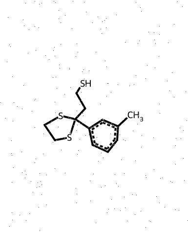 Cc1cccc(C2(CCS)SCCS2)c1